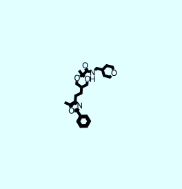 Cc1oc(-c2ccccc2)nc1CCC1COC(C)(C(=O)NCC2CCOCC2)OC1